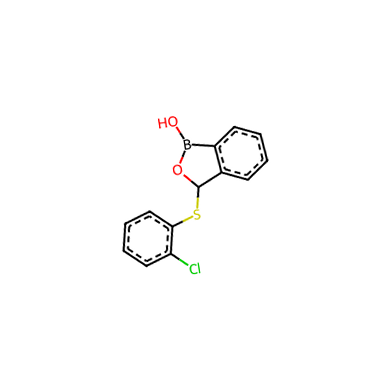 OB1OC(Sc2ccccc2Cl)c2ccccc21